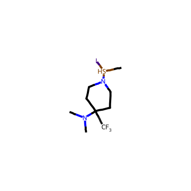 CN(C)C1(C(F)(F)F)CCN([SH](C)I)CC1